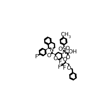 Cc1ccc(S(=O)(=O)N(C(=O)O)[C@H]2C[C@H](C(=O)N3CCc4ccccc4[C@@H]3c3ccc(F)cc3)OC[C@@H]2O[C@@H](COCc2ccccc2)C(F)(F)F)cc1